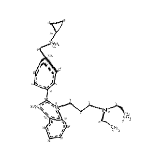 CCN(CC)CCCn1c(-c2ccc(CNC3CC3)cc2)nc2ccccc21